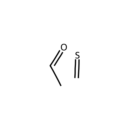 C=S.CC=O